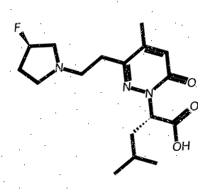 Cc1cc(=O)n([C@@H](CC(C)C)C(=O)O)nc1CCN1CC[C@@H](F)C1